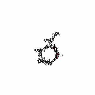 COC(=O)CCC(=O)O[C@H]1CC[C@H](C[C@@H](C)[C@@H]2CC(=O)NCCNC(=O)[C@H](CC(C)C)NC(=O)CNC(=O)[C@H](Cc3ccccc3)NC(=O)[C@H](C)NC(=O)CSCC[C@@H]3CC[C@@H](C)[C@@](O)(O3)C(=O)C(=O)N3CCCC[C@@H]3C(=O)O2)C[C@H]1OC